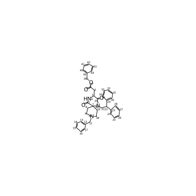 O=C(CC1NC(=O)C2(CCN(Cc3ccccc3)CC2)N(CC(c2ccccc2)c2ccccc2)C1=O)OCc1ccccc1